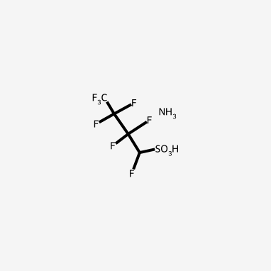 N.O=S(=O)(O)C(F)C(F)(F)C(F)(F)C(F)(F)F